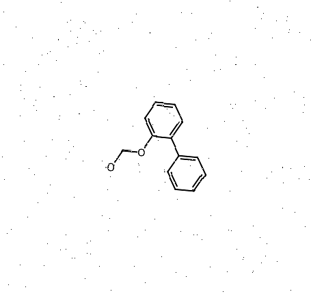 [O]COc1ccccc1-c1[c]cccc1